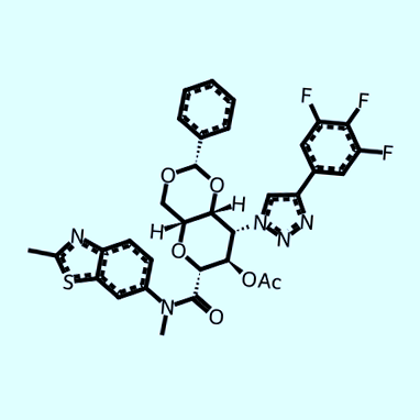 CC(=O)O[C@@H]1[C@@H](n2cc(-c3cc(F)c(F)c(F)c3)nn2)[C@H]2O[C@@H](c3ccccc3)OC[C@H]2O[C@H]1C(=O)N(C)c1ccc2nc(C)sc2c1